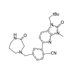 Cn1c(=O)n(CC(C)(C)C)c2ccc(-c3cc(CN4CCCNC(=O)C4)ccc3C#N)nc21